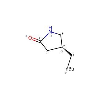 CCCCC[C@@H]1CNC(=O)C1